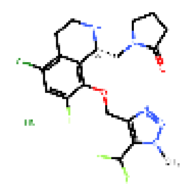 Cl.Cn1nnc(COc2c(F)cc(Cl)c3c2[C@@H](CN2CCCC2=O)NCC3)c1C(F)F